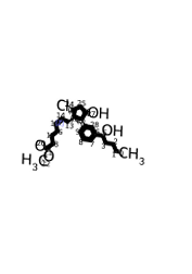 CCCCC(O)c1cccc([C@@H]2[C@@H](C/C=C\CCCC(=O)OC)[C@H](Cl)C[C@H]2O)c1